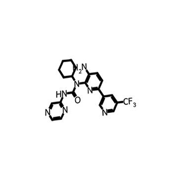 Nc1ccc(-c2cncc(C(F)(F)F)c2)nc1N(C(=O)Nc1cnccn1)C1CCCCC1